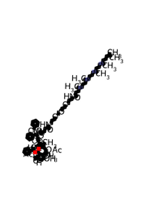 CC(=O)O[C@H]1C(=O)[C@@]2(C)[C@H](C(CC(=O)c3ccccc3)[C@]3(O)CC4(OC(=O)C(OC(=O)CCC(=O)NCCCOCCOCCOCCCNC(=O)CC/C(C)=C/CC/C(C)=C/CC/C=C(\C)CC/C=C(\C)CCC=C(C)C)[C@@H](NC(=O)c5ccccc5)c5ccccc5)C(C)=C1[C@@]43C)[C@]1(OC(C)=O)CO[C@@H]1C[C@@H]2O